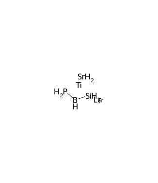 [La].[SiH3]BP.[SrH2].[Ti]